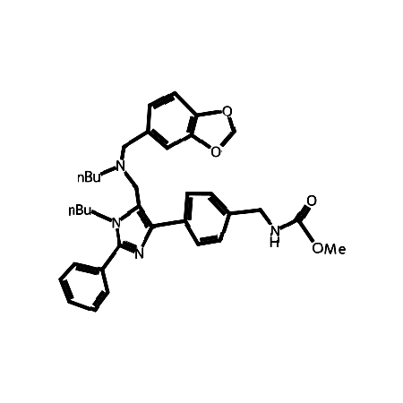 CCCCN(Cc1ccc2c(c1)OCO2)Cc1c(-c2ccc(CNC(=O)OC)cc2)nc(-c2ccccc2)n1CCCC